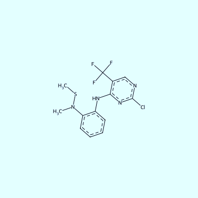 CSN(C)c1ccccc1Nc1nc(Cl)ncc1C(F)(F)F